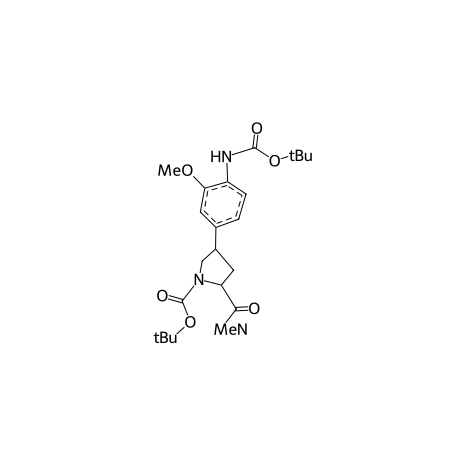 CNC(=O)C1CC(c2ccc(NC(=O)OC(C)(C)C)c(OC)c2)CN1C(=O)OC(C)(C)C